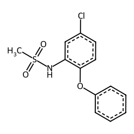 CS(=O)(=O)Nc1cc(Cl)ccc1Oc1ccccc1